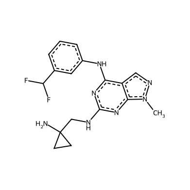 Cn1ncc2c(Nc3cccc(C(F)F)c3)nc(NCC3(N)CC3)nc21